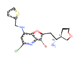 N[C@H](Cc1oc2c(NCc3cccs3)cc(Cl)nc2c1Br)[C@H]1CCOC1